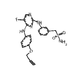 C#CCOc1ccc(Nc2nc(Nc3cccc(CS(N)(=O)=O)c3)ncc2F)cc1